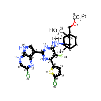 CCOC(=O)OCC12CCC(CC1)[C@H](Nc1nc(-c3c[nH]c4ncc(Cl)nc34)nc(-c3ccc(Cl)s3)c1F)[C@H]2C(=O)O